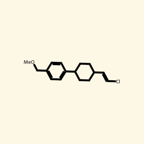 COCc1ccc(C2CCC(/C=C/Cl)CC2)cc1